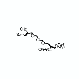 CCCCCCCCC=C(C=O)COCOCOCC(C=O)=CCCCCCCCC